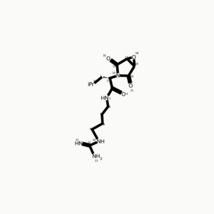 CC(C)C[C@@H](C(=O)NCCCCNC(=N)N)N1C(=O)C2OC2C1=O